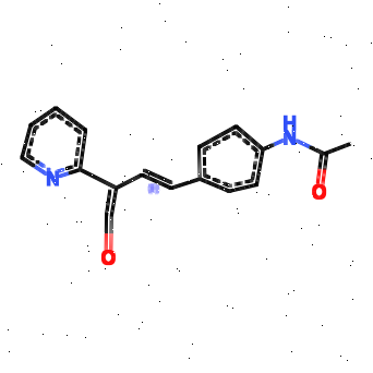 CC(=O)Nc1ccc(/C=C/C(=C=O)c2ccccn2)cc1